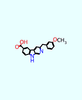 COc1cccc(Cc2cc3c(cn2)[nH]c2ccc(C(=O)O)cc23)c1